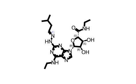 CCNC(=O)[C@H]1O[C@@H](n2cnc3c(NCC)nc(N/N=C/CC(C)C)nc32)[C@H](O)[C@@H]1O